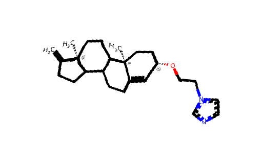 C=C1CCC2C3CCC4=C[C@@H](OCCn5ccnc5)CC[C@]4(C)C3CC[C@]12C